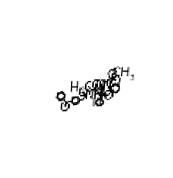 COC(=O)CN1C(=O)[C@@H](NC(=O)[C@H](C)NC(=O)Cc2ccc(C(=O)c3ccccc3)cc2)[C@@H](c2ccccc2)Oc2ccccc21